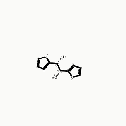 O[C@@H](c1ccco1)[C@@H](O)c1ccco1